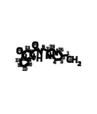 C=Cc1ccc2nc(CNC(=O)c3cc(=O)n4ccccc4n3)cn2c1